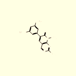 COc1cc(OC)cc(-c2cc3cnc(N)nc3n(C)c2=O)c1